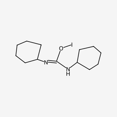 IO/C(=N\C1CCCCC1)NC1CCCCC1